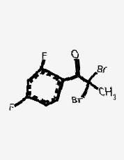 CC(Br)(Br)C(=O)c1ccc(F)cc1F